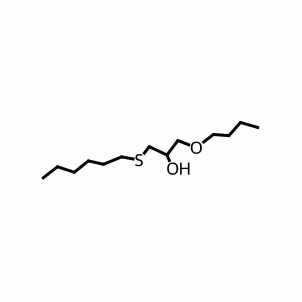 CCCCCCSCC(O)COCCCC